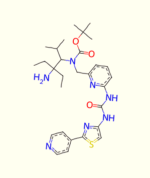 CCC(N)(CC)C(C(C)C)N(Cc1cccc(NC(=O)Nc2csc(-c3ccncc3)n2)n1)C(=O)OC(C)(C)C